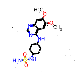 COc1cc2ncnc(NC3CCC(NS(N)(=O)=O)CC3)c2cc1OC